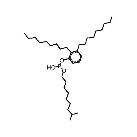 CCCCCCCCCc1cccc(OP(O)OCCCCCCCC(C)C)c1CCCCCCCCC